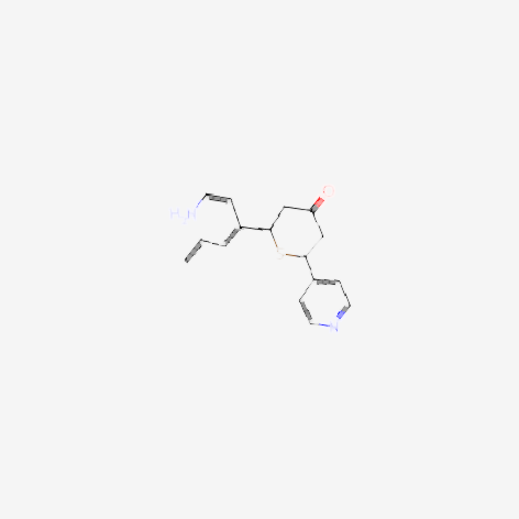 C=C/C=C(\C=C/N)C1CC(=O)CC(c2ccncc2)S1